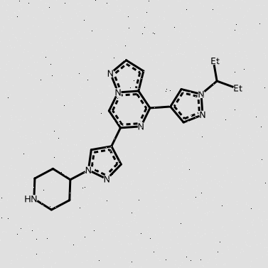 CCC(CC)n1cc(-c2nc(-c3cnn(C4CCNCC4)c3)cn3nccc23)cn1